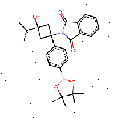 CC(C)C1(O)CC(c2ccc(B3OC(C)(C)C(C)(C)O3)cc2)(N2C(=O)c3ccccc3C2=O)C1